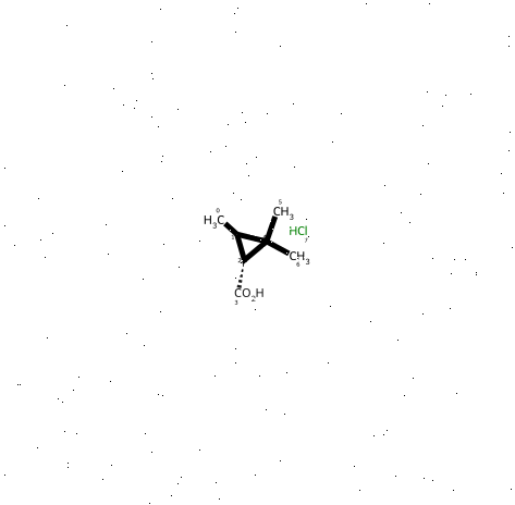 CC1[C@@H](C(=O)O)C1(C)C.Cl